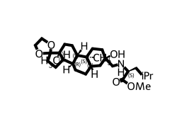 COC(=O)[C@H](CC(C)C)NC[C@@]1(O)CC[C@@]2(C)[C@@H](CC[C@@H]3[C@@H]2CC[C@@]2(C)[C@H]3CCC23OCCO3)C1